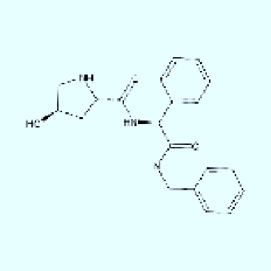 CN(Cc1ccccc1)C(=O)[C@@H](NC(=O)[C@@H]1C[C@@H](O)CN1)c1ccccc1